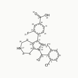 Cc1cccc(Cl)c1C(=O)n1nc(-c2ccc(C(=O)O)cc2F)c2c1CCNCC2